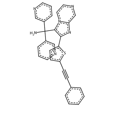 NC(c1cccnc1)(c1cccnc1)c1c(-c2ccc(C#Cc3ccccc3)s2)nc2cnccn12